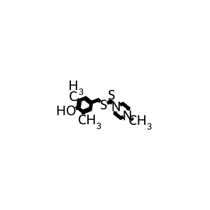 Cc1cc(CSC(=S)N2CCN(C)CC2)cc(C)c1O